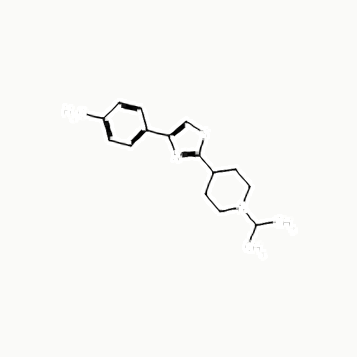 Cc1ccc(-c2csc(C3CCN(C(C)C)CC3)n2)cc1